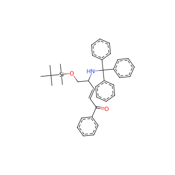 CC(C)(C)[Si](C)(C)OCC(/C=C/C(=O)c1ccccc1)NC(c1ccccc1)(c1ccccc1)c1ccccc1